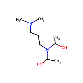 CC(O)N(CCCN(C)C)C(C)O